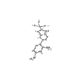 Nc1ncc(-c2ccc3[nH]c(C(F)(F)F)nc3c2)c(N)n1